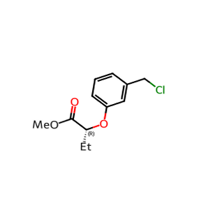 CC[C@@H](Oc1cccc(CCl)c1)C(=O)OC